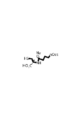 CCCCCCCCCCCC(=O)N[C@@H](CS)C(=O)O.[Na]